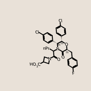 CCCC(C(=O)N1CC(C(=O)O)C1)N1C(=O)[C@H](Cc2ccc(F)cc2)O[C@@H](c2ccc(Cl)cc2)[C@H]1c1ccc(Cl)cc1